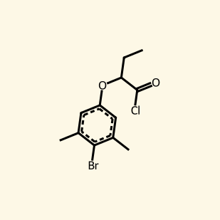 CCC(Oc1cc(C)c(Br)c(C)c1)C(=O)Cl